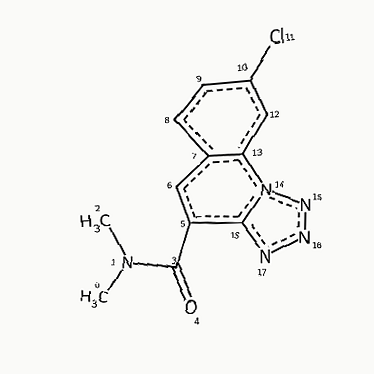 CN(C)C(=O)c1cc2ccc(Cl)cc2n2nnnc12